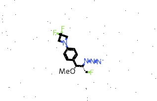 CO[C@H](c1ccc(N2CC(F)(F)C2)cc1)[C@@H](CF)N=[N+]=[N-]